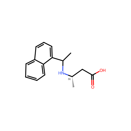 CC(N[C@@H](C)CC(=O)O)c1cccc2ccccc12